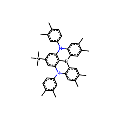 Cc1ccc(N2c3cc(C)c(C)cc3B3c4cc(C)c(C)cc4N(c4ccc(C)c(C)c4)c4cc([Si](C)(C)C)cc2c43)cc1C